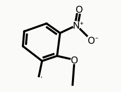 [CH2]c1cccc([N+](=O)[O-])c1OC